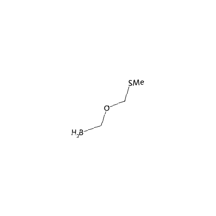 BCOCSC